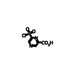 O=C(O)c1cncc(S(=O)(=O)Cl)n1